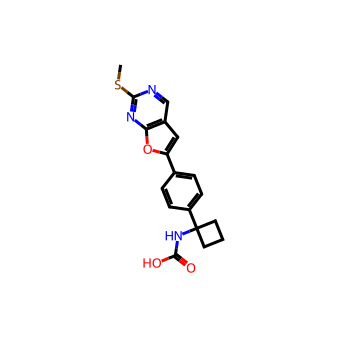 CSc1ncc2cc(-c3ccc(C4(NC(=O)O)CCC4)cc3)oc2n1